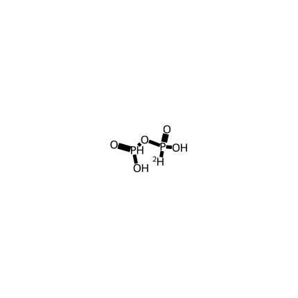 [2H]P(=O)(O)O[PH](=O)O